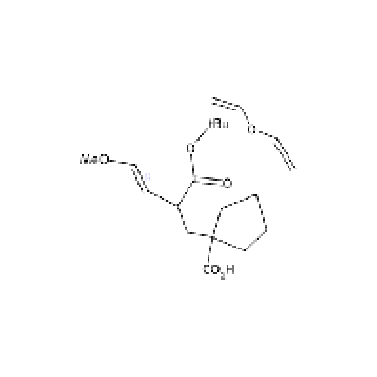 C=COC=C.CO/C=C/C(CC1(C(=O)O)CCCC1)C(=O)OC(C)(C)C